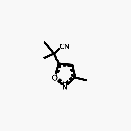 Cc1cc(C(C)(C)C#N)on1